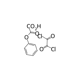 O=C(Cl)C(=O)Cl.O=C(O)C(=O)Oc1ccccc1